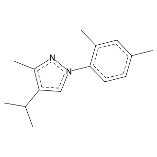 Cc1ccc(-n2cc(C(C)C)c(C)n2)c(C)c1